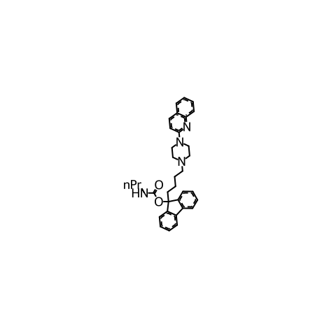 CCCNC(=O)OC1(CCCCN2CCN(c3ccc4ccccc4n3)CC2)c2ccccc2-c2ccccc21